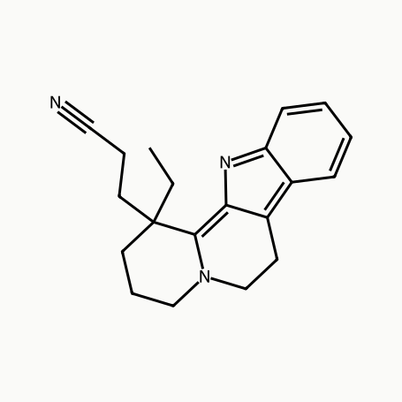 CCC1(CCC#N)CCCN2CCC3=c4ccccc4=NC3=C21